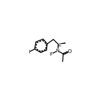 CC(=O)N(F)[C@H](C)Cc1ccc(I)cc1